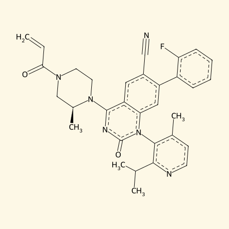 C=CC(=O)N1CCN(c2nc(=O)n(-c3c(C)ccnc3C(C)C)c3cc(-c4ccccc4F)c(C#N)cc23)[C@@H](C)C1